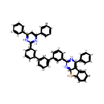 c1ccc(-c2cc(-c3ccccc3)nc(-c3cccc(-c4cccc(-c5cccc(-c6nc(-c7ccccc7)c7c(n6)sc6ccccc67)c5)c4)c3)n2)cc1